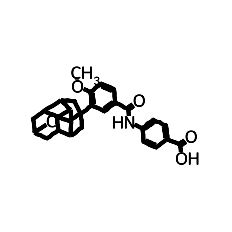 COc1ccc(C(=O)Nc2ccc(C(=O)O)cc2)cc1C12CC3C4CC5CC3C(C1)C(C5)C4C2